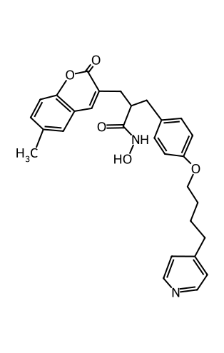 Cc1ccc2oc(=O)c(CC(Cc3ccc(OCCCCc4ccncc4)cc3)C(=O)NO)cc2c1